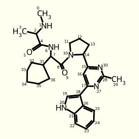 CNC(C)C(=O)NC(C(=O)N1CCCC1c1cc(-c2c[nH]c3ccccc23)nc(C)n1)C1CCCCC1